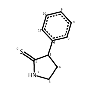 S=C1NCCC1c1ccccc1